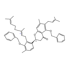 CC(C)=CCC/C(C)=C/Cc1c([C@@H]2CC(=O)c3c(cc(C)c(CC=C(C)C)c3OCc3ccccc3)O2)ccc(C)c1OCc1ccccc1